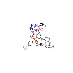 Cc1ccc(S(=O)(=O)c2cccc(OC(=O)[C@H](C)N)c2C(=O)[C@@H](N)CC(C)C)cc1.O=CC(C(=O)O)c1c(F)cccc1F